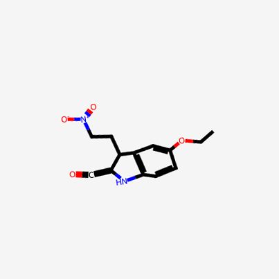 CCOc1ccc2c(c1)C(CC[N+](=O)[O-])C(=C=O)N2